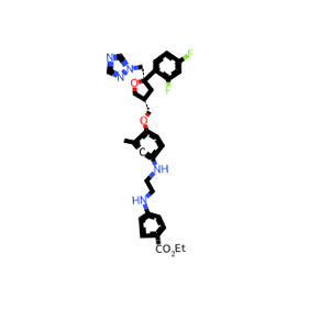 CCOC(=O)c1ccc(NCCNc2ccc(OC[C@@H]3CO[C@@](Cn4cncn4)(c4ccc(F)cc4F)C3)c(C)c2)cc1